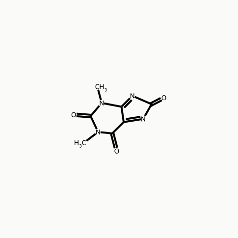 Cn1c(=O)c2c(n(C)c1=O)=NC(=O)N=2